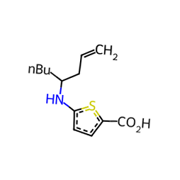 C=CCC(CCCC)Nc1ccc(C(=O)O)s1